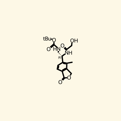 Cc1c([C@H](CNC(=O)OC(C)(C)C)NC(=O)CO)ccc2c1COC2=O